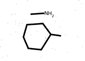 CC1CCCCC1.CN